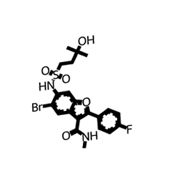 CNC(=O)c1c(-c2ccc(F)cc2)oc2cc(NS(=O)(=O)CCC(C)(C)O)c(Br)cc12